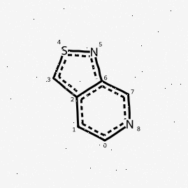 c1cc2csnc2cn1